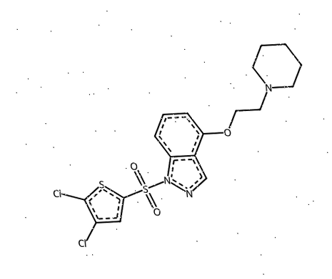 O=S(=O)(c1cc(Cl)c(Cl)s1)n1ncc2c(OCCN3CCCCC3)cccc21